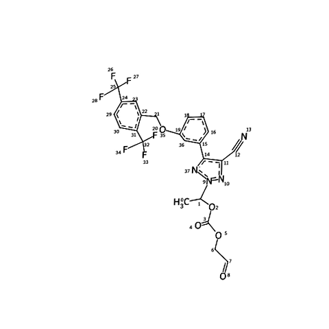 CC(OC(=O)OCC=O)n1nc(C#N)c(-c2cccc(OCc3cc(C(F)(F)F)ccc3C(F)(F)F)c2)n1